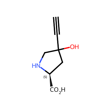 C#CC1(O)CN[C@H](C(=O)O)C1